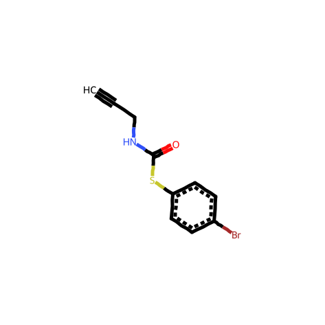 C#CCNC(=O)Sc1ccc(Br)cc1